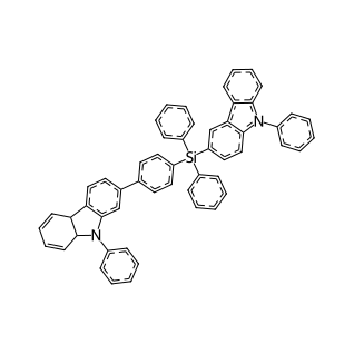 C1=CC2c3ccc(-c4ccc([Si](c5ccccc5)(c5ccccc5)c5ccc6c(c5)c5ccccc5n6-c5ccccc5)cc4)cc3N(c3ccccc3)C2C=C1